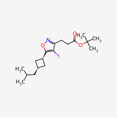 CC(C)C[C@H]1C[C@@H](c2onc(CCC(=O)OC(C)(C)C)c2I)C1